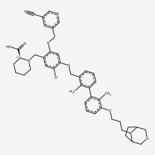 Cc1c(COc2cc(OCc3cncc(C#N)c3)c(CN3CCCC[C@H]3C(=O)O)cc2Cl)cccc1-c1cccc(OCCCN2C3CCC2COC3)c1C